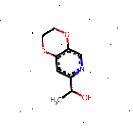 CC(O)c1cc2c(cn1)OCCO2